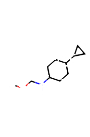 COCNC1CCC(C2CC2)CC1